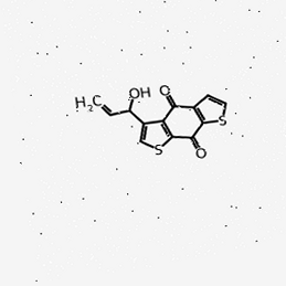 C=CC(O)c1csc2c1C(=O)c1ccsc1C2=O